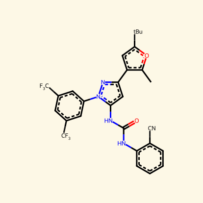 Cc1oc(C(C)(C)C)cc1-c1cc(NC(=O)Nc2ccccc2C#N)n(-c2cc(C(F)(F)F)cc(C(F)(F)F)c2)n1